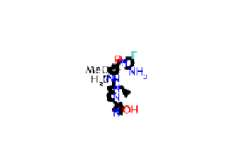 COc1cc(C(=O)N2C[C@H](N)C[C@@H](F)C2)cc2nc(-c3cc4ccc(-c5cncc(O)c5)nc4n3CC3CC3)n(C)c12